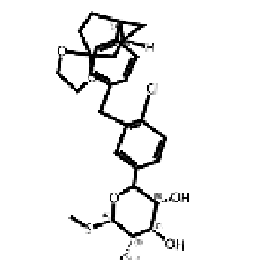 CS[C@H]1OC(c2ccc(Cl)c(Cc3ccc([C@]45CCC6(C[C@H]4C5)OCCO6)cc3)c2)[C@H](O)[C@@H](O)[C@@H]1O